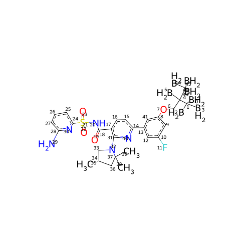 BC(B)(B)C(B)(COc1cc(F)cc(-c2ccc(C(=O)NS(=O)(=O)c3cccc(N)n3)c(N3C[C@@H](C)CC3(C)C)n2)c1)C(B)(B)B